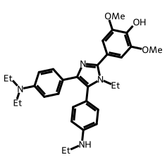 CCNc1ccc(-c2c(-c3ccc(N(CC)CC)cc3)nc(-c3cc(OC)c(O)c(OC)c3)n2CC)cc1